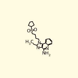 CCc1nc2c(N)nc3ccccc3c2n1CCCCS(=O)(=O)C1CCCC1